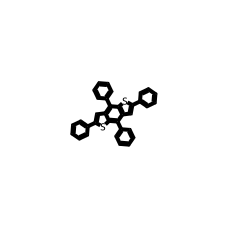 c1ccc(-c2cc3c(-c4ccccc4)c4sc(-c5ccccc5)cc4c(-c4ccccc4)c3s2)cc1